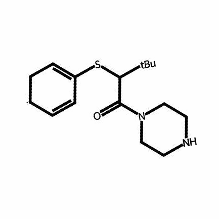 CC(C)(C)C(SC1=CC[CH]C=C1)C(=O)N1CCNCC1